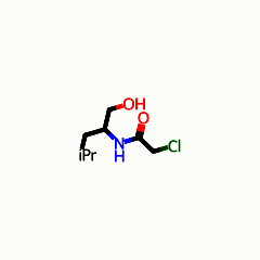 CC(C)CC(CO)NC(=O)CCl